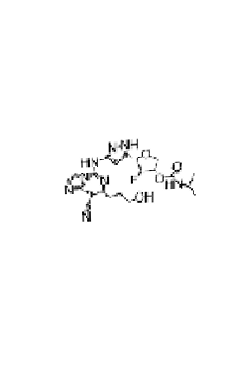 CC(C)NC(=O)O[C@H]1CO[C@@H](c2cc(Nc3nc(CCCO)c(C#N)c4nccn34)n[nH]2)[C@@H]1F